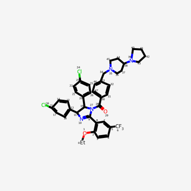 CCOc1ccc(C(F)(F)F)cc1C1=NC(c2ccc(Cl)cc2)C(c2ccc(Cl)cc2)N1C(=O)c1ccc(CN2CCC(N3CCCC3)CC2)cc1